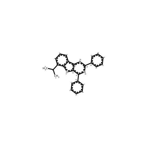 CC(C)c1cccc2c1oc1c(-c3ccccc3)nc(-c3ccccc3)nc12